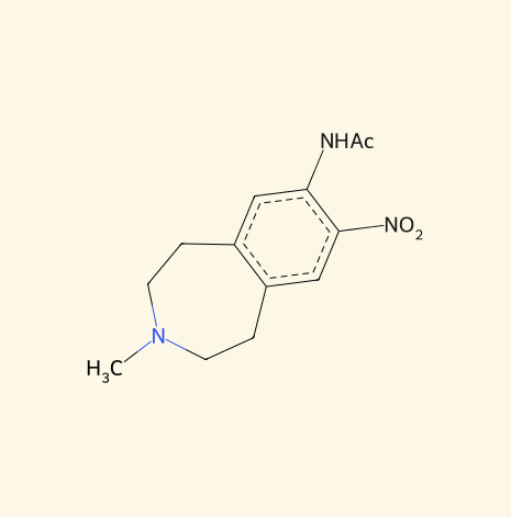 CC(=O)Nc1cc2c(cc1[N+](=O)[O-])CCN(C)CC2